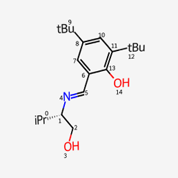 CC(C)[C@@H](CO)/N=C/c1cc(C(C)(C)C)cc(C(C)(C)C)c1O